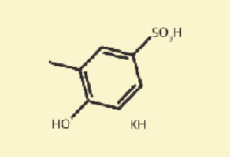 Cc1cc(S(=O)(=O)O)ccc1O.[KH]